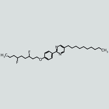 CCCCCCCCCCc1cnc(-c2ccc(OCCC(F)CCC(F)CCC)cc2)nc1